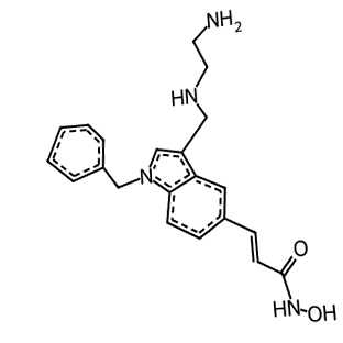 NCCNCc1cn(Cc2ccccc2)c2ccc(/C=C/C(=O)NO)cc12